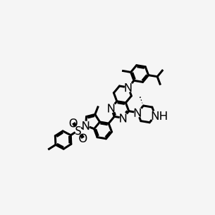 Cc1ccc(S(=O)(=O)n2cc(C)c3c(-c4nc5c(c(N6CCNC[C@H]6C)n4)CN(c4cc(C(C)C)ccc4C)CC5)cccc32)cc1